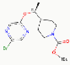 C[C@H](Oc1cnc(Br)cn1)C1CCN(C(=O)OC(C)(C)C)CC1